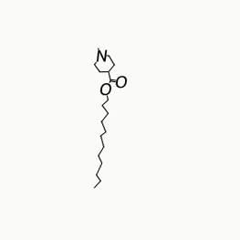 CCCCCCCCCCCCOC(=O)C1CCN(C)CC1